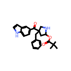 CC(C)(C)C(=O)OC1CC(Cc2ccccc2)(C(=O)c2ccc3[nH]ccc3c2)CN1